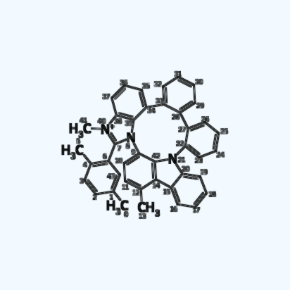 Cc1ccc(C)c(-c2n3c4ccc(C)c5c6ccccc6n(c6ccccc6c6ccccc6c6cccc(c63)[n+]2C)c54)c1